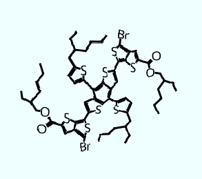 CCCCC(CC)COC(=O)c1cc2c(Br)sc(-c3cc4c(-c5ccc(CC(CC)CCCC)s5)c5sc(-c6sc(Br)c7cc(C(=O)OCC(CC)CCCC)sc67)cc5c(-c5ccc(CC(CC)CCCC)s5)c4s3)c2s1